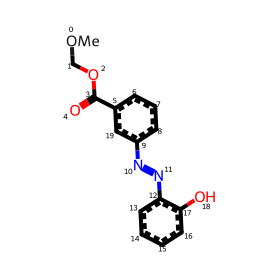 COCOC(=O)c1cccc(/N=N/c2ccccc2O)c1